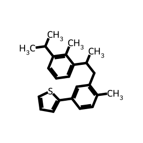 Cc1ccc(-c2cccs2)cc1CC(C)c1cccc(C(C)C)c1C